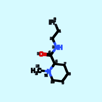 CC(C)CCNC(=O)C1CCCCN1C